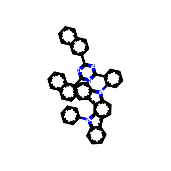 c1ccc(-n2c3ccccc3c3ccc4c(c5ccccc5n4-c4ccccc4-c4nc(-c5ccc6ccccc6c5)nc(-c5cccc6ccccc56)n4)c32)cc1